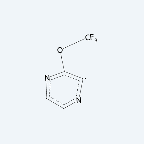 FC(F)(F)Oc1[c]nccn1